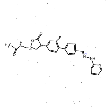 CC(=O)NC[C@H]1CN(c2ccc(-c3ccc(/C=N/Nc4ccccn4)cc3)c(F)c2)C(=O)O1